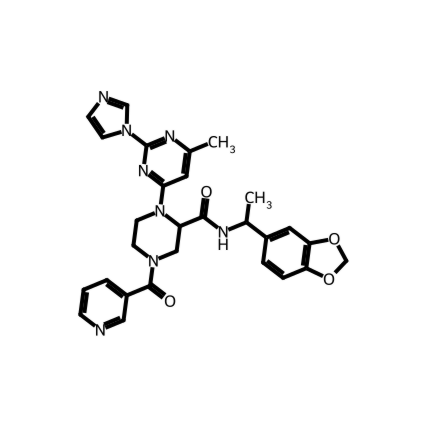 Cc1cc(N2CCN(C(=O)c3cccnc3)CC2C(=O)NC(C)c2ccc3c(c2)OCO3)nc(-n2ccnc2)n1